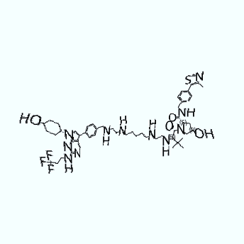 Cc1ncsc1-c1ccc(CNC(=O)[C@@H]2C[C@@H](O)CN2C(=O)[C@@H](NCCNCCCCCNCCNCc2ccc(-c3cn([C@H]4CC[C@H](O)CC4)c4nc(NCCC(F)(F)F)ncc34)cc2)C(C)(C)C)cc1